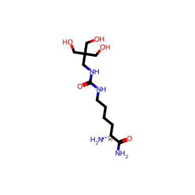 NC(=O)[C@H](N)CCCCNC(=O)NCC(CO)(CO)CO